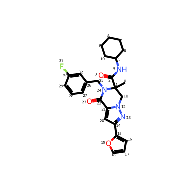 CC1(C(=O)NC2CCCCC2)Cn2nc(-c3ccco3)cc2C(=O)N1Cc1cccc(F)c1